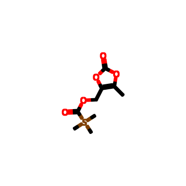 Cc1oc(=O)oc1COC(=O)S(C)(C)C